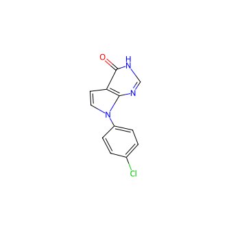 O=c1[nH]cnc2c1ccn2-c1ccc(Cl)cc1